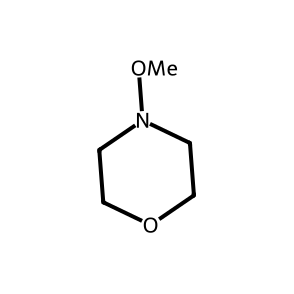 [CH2]ON1CCOCC1